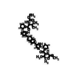 COC(=O)N[C@H](C(=O)N1CCC[C@H]1c1ncc(-c2cc3c(s2)CC(c2cnc([C@@H]4CCCN4C(=O)[C@@H](NC(=O)OC)C(C)C)[nH]2)S3)[nH]1)C(C)C